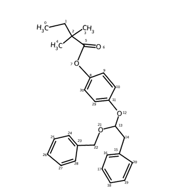 CCC(C)(C)C(=O)Oc1ccc(OC(Cc2ccccc2)OCc2ccccc2)cc1